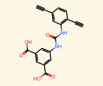 C#Cc1ccc(C#C)c(NC(=O)Nc2cc(C(=O)O)cc(C(=O)O)c2)c1